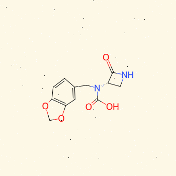 O=C1NC[C@@H]1N(Cc1ccc2c(c1)OCO2)C(=O)O